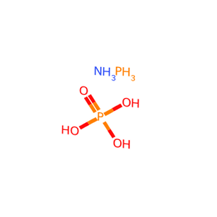 N.O=P(O)(O)O.P